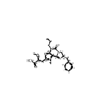 CCCN1C(=O)N2C[C@@H](Cc3ccccc3)N=C2c2[nH]c(CC(OC)C(=O)O)nc21